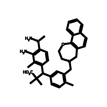 Cc1ccc(C(c2ccc(N(C)N)c(N)c2C)C(C)(C)C(=O)O)cc1CN1CCOc2c(ccc3ccccc23)C1